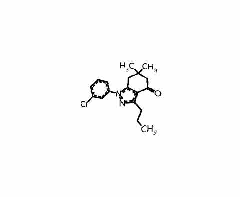 CCCc1nn(-c2cccc(Cl)c2)c2c1C(=O)CC(C)(C)C2